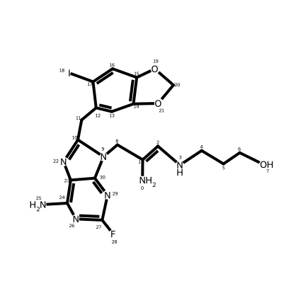 N/C(=C\NCCCO)Cn1c(Cc2cc3c(cc2I)OCO3)nc2c(N)nc(F)nc21